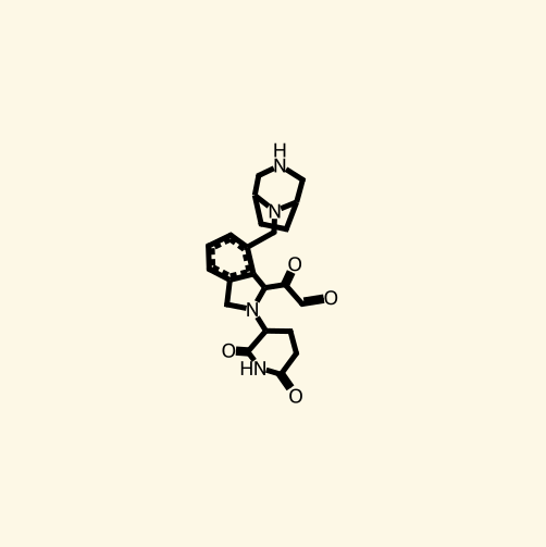 O=CC(=O)C1c2c(CN3C4CCC3CNC4)cccc2CN1C1CCC(=O)NC1=O